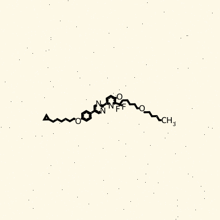 CCCCCCOCCCCC1Oc2ccc(-c3ncc(-c4ccc(OCCCCCCC5CC5)cc4)cn3)nc2C1(F)F